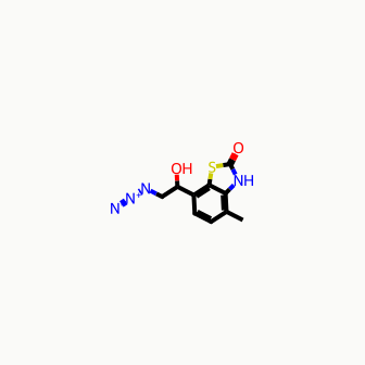 Cc1ccc(C(O)CN=[N+]=[N-])c2sc(=O)[nH]c12